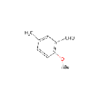 CCCCOc1ccc(C)cc1C=O